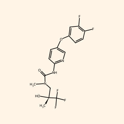 CN(C[C@@](C)(O)C(F)(F)F)C(=O)Nc1ccc(Oc2ccc(F)c(F)c2)cn1